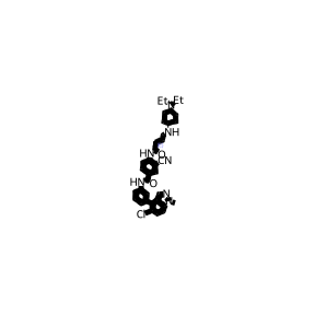 CCN(CC)[C@H]1CC[C@H](NC/C=C/C(=O)Nc2ccc(C(=O)Nc3cccc(-c4c(Cl)ccc5c4cnn5C)c3)cc2C#N)CC1